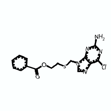 Nc1nc(Cl)c2ncn(CSCCOC(=O)c3ccccc3)c2n1